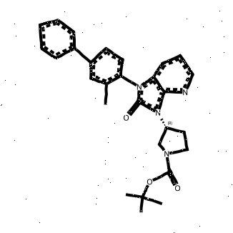 Cc1cc(-c2ccccc2)ccc1-n1c(=O)n([C@@H]2CCN(C(=O)OC(C)(C)C)C2)c2ncccc21